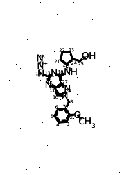 COc1ccccc1Cn1cc2nc(N=[N+]=[N-])nc(NC3CCCC3CO)c2n1